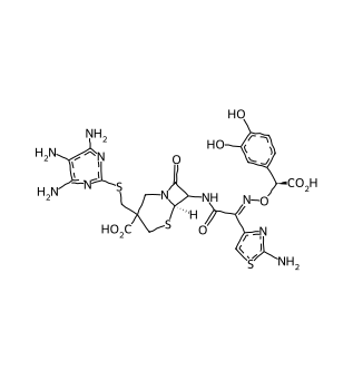 Nc1nc(C(=NO[C@H](C(=O)O)c2ccc(O)c(O)c2)C(=O)NC2C(=O)N3CC(CSc4nc(N)c(N)c(N)n4)(C(=O)O)CS[C@H]23)cs1